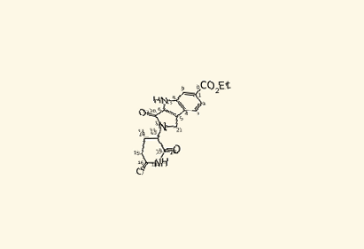 CCOC(=O)c1ccc2c3c([nH]c2c1)C(=O)N(C1CCC(=O)NC1=O)C3